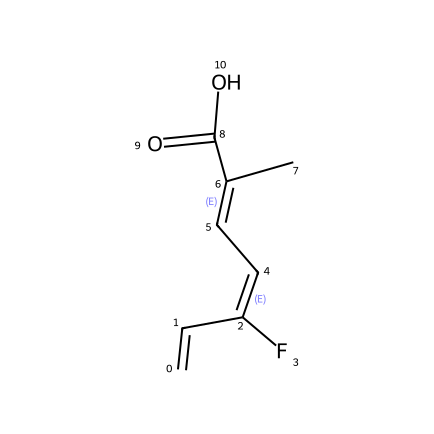 C=C/C(F)=C\C=C(/C)C(=O)O